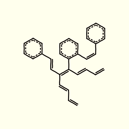 C=CC=CC(C=Cc1ccccc1)=C(C=CC=C)c1ccccc1C=Cc1ccccc1